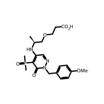 COc1ccc(Cn2ncc(N[C@@H](C)COCCC(=O)O)c(P(C)(C)=O)c2=O)cc1